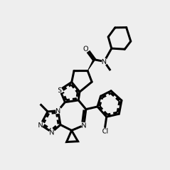 Cc1nnc2n1-c1sc3c(c1C(c1ccccc1Cl)=NC21CC1)C[C@H](C(=O)N(C)C1CCCCC1)C3